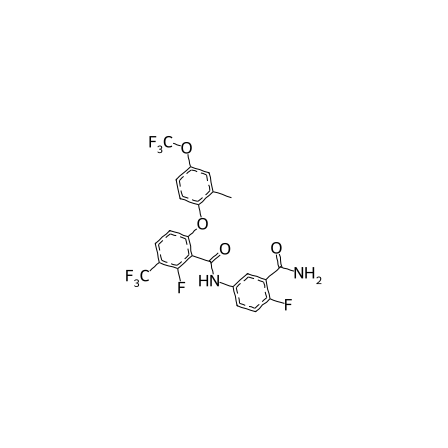 Cc1cc(OC(F)(F)F)ccc1Oc1ccc(C(F)(F)F)c(F)c1C(=O)Nc1ccc(F)c(C(N)=O)c1